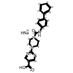 O=C(O)c1cnc(N2CCN(C(=O)Nc3ccc(-c4ccccc4)cc3)CC2)nc1.[NaH]